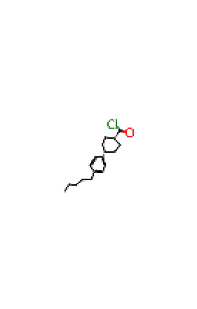 CCCCCc1ccc([C@H]2CC[C@H](C(=O)Cl)CC2)cc1